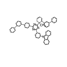 CC1(c2nc(-c3ccc(-c4cccc(-c5ccccc5)c4)cc3)nc(-c3cccc(-n4c5ccccc5c5ccccc54)c3)n2)CC=CC=C1c1cccc(-c2ccccc2)c1